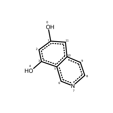 Oc1cc(O)c2cnccc2c1